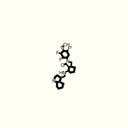 COc1c(F)cc(N2Cc3cccc(NCc4ccnc5ccccc45)c3C2=O)c(F)c1F